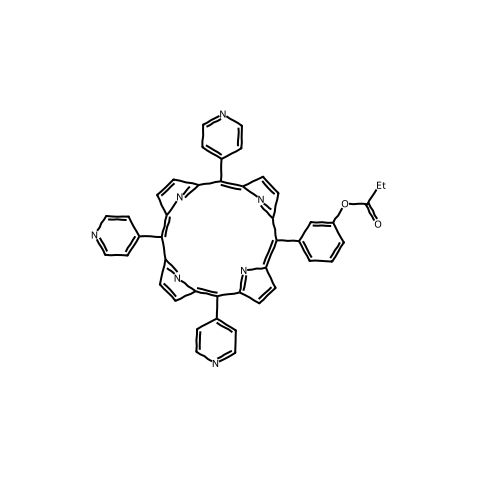 CCC(=O)Oc1cccc(C2=C3C=CC(=N3)C(c3ccncc3)=C3C=CC(=N3)C(c3ccncc3)=C3C=CC(=N3)C(c3ccncc3)=C3C=CC2=N3)c1